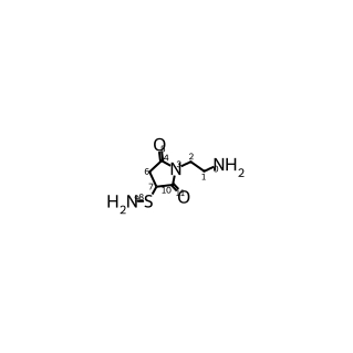 NCCN1C(=O)CC(SN)C1=O